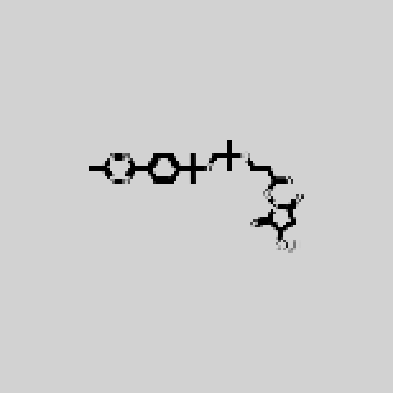 Cc1nnc(-c2ccc(C(C)(C)OCC(C)(C)OCCC(=O)ON3C(=O)CC(S(=O)(=O)O)C3=O)cc2)nn1